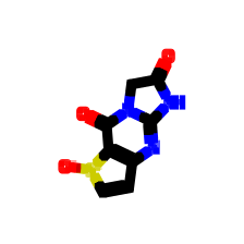 O=C1Cn2c(nc3cc[s+]([O-])c3c2=O)N1